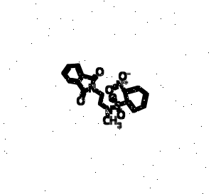 CN(CCN1C(=O)c2ccccc2C1=O)S(=O)(=O)c1ccccc1[N+](=O)[O-]